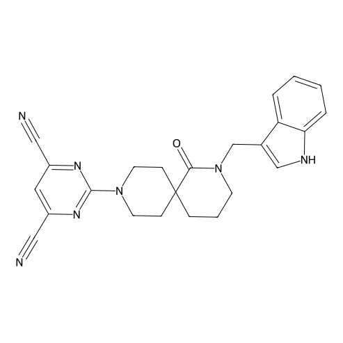 N#Cc1cc(C#N)nc(N2CCC3(CCCN(Cc4c[nH]c5ccccc45)C3=O)CC2)n1